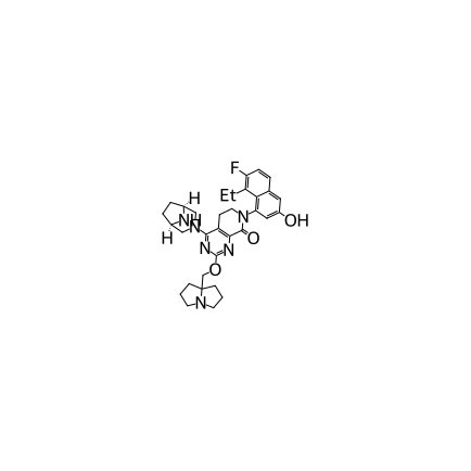 CCc1c(F)ccc2cc(O)cc(N3CCc4c(nc(OCC56CCCN5CCC6)nc4N4C[C@H]5CC[C@@H](C4)N5)C3=O)c12